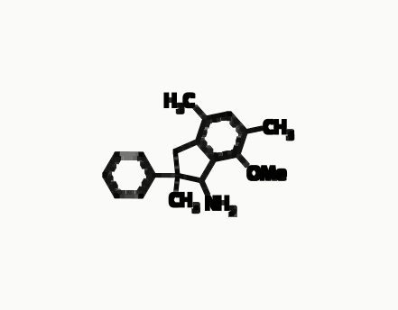 COc1c(C)cc(C)c2c1C(N)C(C)(c1ccccc1)C2